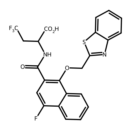 O=C(NC(CC(F)(F)F)C(=O)O)c1cc(F)c2ccccc2c1OCc1nc2ccccc2s1